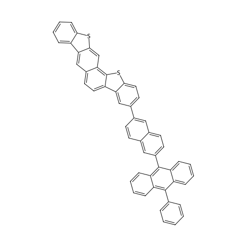 c1ccc(-c2c3ccccc3c(-c3ccc4cc(-c5ccc6sc7c8cc9sc%10ccccc%10c9cc8ccc7c6c5)ccc4c3)c3ccccc23)cc1